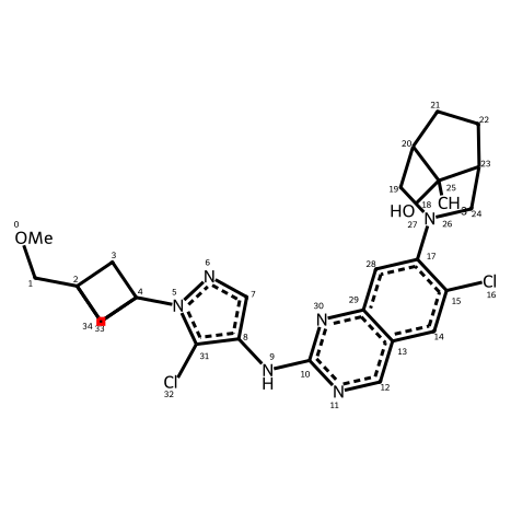 COCC12CC(n3ncc(Nc4ncc5cc(Cl)c(N6CC7CCC(C6)C7(C)O)cc5n4)c3Cl)(C1)C2